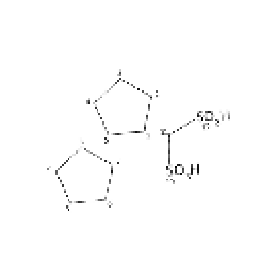 C1CCCC1.C1CCCC1.O=S(=O)(O)CS(=O)(=O)O